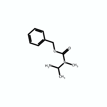 CC(N)N(C)C(=O)OCc1ccccc1